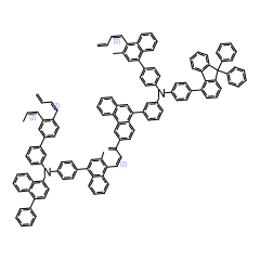 C=C/C=C\c1ccc(-c2cccc(N(c3ccc(-c4cc(C)c(/C=C\C(=C)c5ccc6c(-c7cccc(N(c8ccc(-c9cccc%10c9-c9ccccc9C%10(c9ccccc9)c9ccccc9)cc8)c8ccc(-c9cc(C)c(/C=C\C=C)c%10ccccc9%10)cc8)c7)cc7ccccc7c6c5)c5ccccc45)cc3)c3ccc(-c4ccccc4)c4ccccc34)c2)cc1/C=C\C